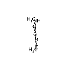 CNCCOCCCOCCOCCCOC